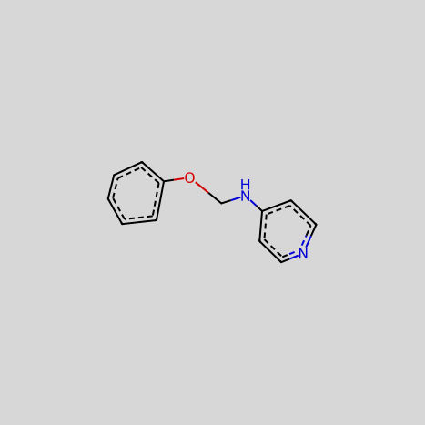 c1ccc(OCNc2ccncc2)cc1